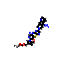 COCOC[C@H]1C[C@H]2COc3c(Sc4ncc(N5CCC6(CC5)Cc5ncccc5[C@H]6N)nc4N)ccnc3N2C1